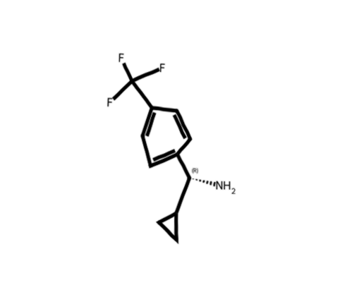 N[C@@H](c1ccc(C(F)(F)F)cc1)C1CC1